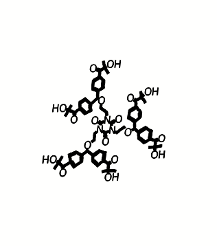 CC(C)(O)C(=O)c1ccc(C(OCCn2c(=O)n(CCOC(c3ccc(C(=O)C(C)(C)O)cc3)c3ccc(C(=O)C(C)(C)O)cc3)c(=O)n(CCOC(c3ccc(C(=O)C(C)(C)O)cc3)c3ccc(C(=O)C(C)(C)O)cc3)c2=O)c2ccc(C(=O)C(C)(C)O)cc2)cc1